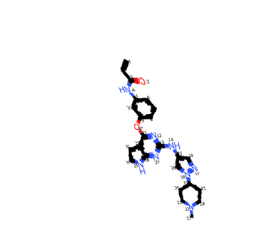 C=CC(=O)Nc1cccc(Oc2nc(Nc3cnn(C4CCN(C)CC4)c3)nc3[nH]ccc23)c1